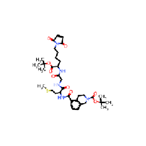 CSCCC(NC(=O)c1cccc2c1CCN(C(=O)OC(C)(C)C)C2)C(=O)NCC(=O)NC(CCCCN1C(=O)C=CC1=O)C(=O)OC(C)(C)C